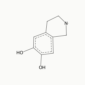 Oc1cc2c(cc1O)C[N]CC2